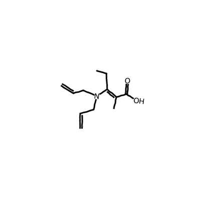 C=CCN(CC=C)/C(CC)=C(\C)C(=O)O